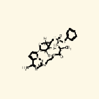 CCCCCCCCCCCCOC(=O)[C@H](C)NP(=O)(Oc1ccccc1)OC1[C@H]2O[C@@H](c3ccc4c(N)ncnn34)[C@H](O)[C@@]12O